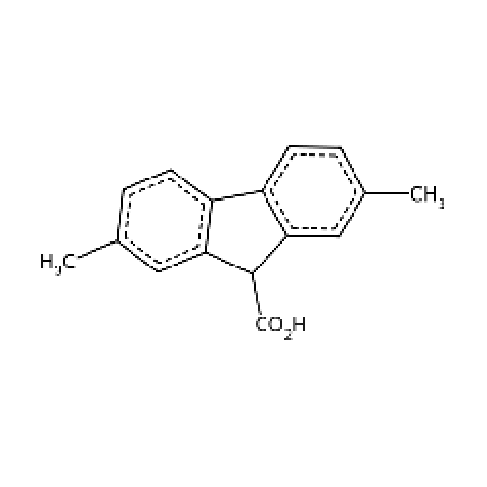 Cc1ccc2c(c1)C(C(=O)O)c1cc(C)ccc1-2